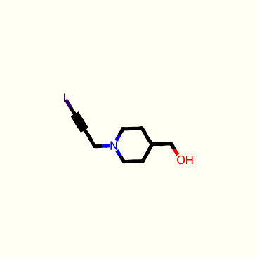 OCC1CCN(CC#CI)CC1